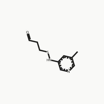 Cc1cncc(NSCCC=O)c1